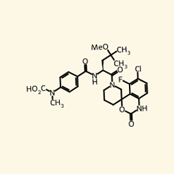 COC(C)(C)C[C@H](NC(=O)c1ccc(N(C)C(=O)O)cc1)C(=O)N1CCCC2(C1)OC(=O)Nc1ccc(Cl)c(F)c12